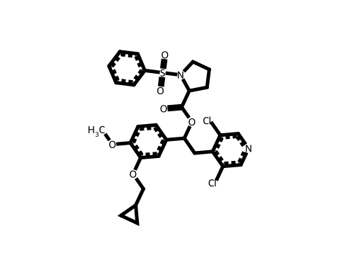 COc1ccc(C(Cc2c(Cl)cncc2Cl)OC(=O)C2CCCN2S(=O)(=O)c2ccccc2)cc1OCC1CC1